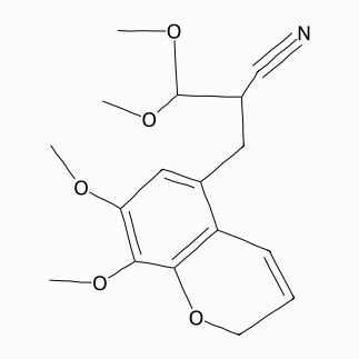 COc1cc(CC(C#N)C(OC)OC)c2c(c1OC)OCC=C2